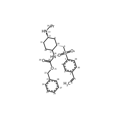 C=Cc1ccc(S(=O)(=O)C[C@H]2C[C@H](NC(C)C)CCC2NC(=O)OCc2ccccc2)cc1